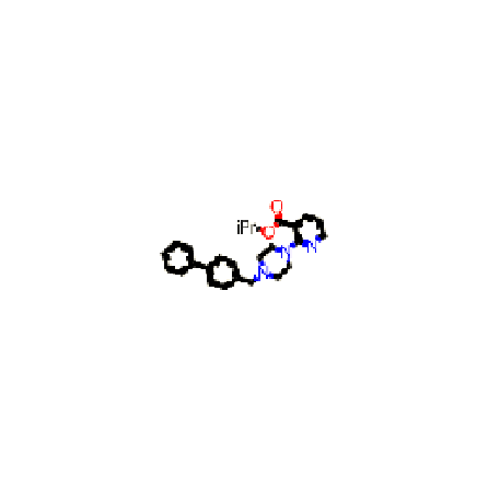 CC(C)OC(=O)c1cccnc1N1CCN(Cc2ccc(-c3ccccc3)cc2)CC1